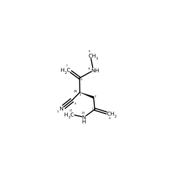 C=C(C[C@@H](C#N)C(=C)NC)NC